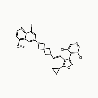 COc1ccnc2c(F)cc(N3CC4(CC(/C=C/c5c(-c6c(Cl)cncc6Cl)noc5C5CC5)C4)C3)cc12